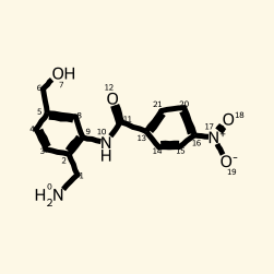 NCc1ccc(CO)cc1NC(=O)c1ccc([N+](=O)[O-])cc1